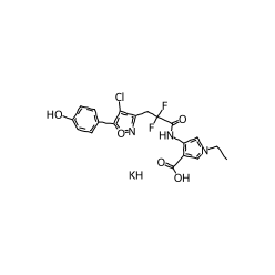 CCn1cc(NC(=O)C(F)(F)Cc2noc(-c3ccc(O)cc3)c2Cl)c(C(=O)O)c1.[KH]